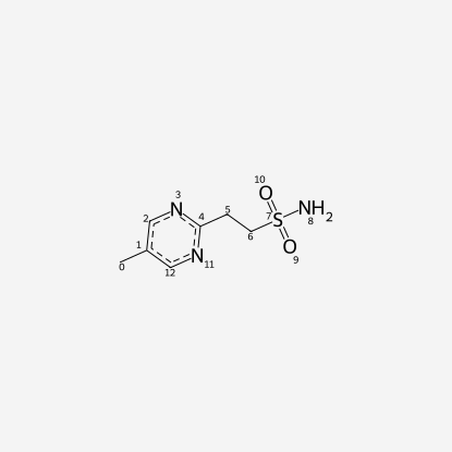 Cc1cnc(CCS(N)(=O)=O)nc1